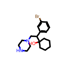 OC1(C(CN2CCNCC2)c2cccc(Br)c2)CCCCC1